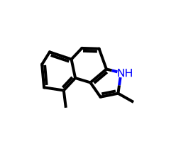 Cc1cc2c(ccc3cccc(C)c32)[nH]1